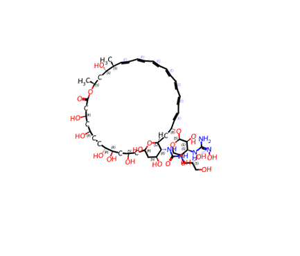 C[C@H]1C[C@H](O)[C@@H](C)/C=C/C=C/C=C/C=C/C=C/C=C/C=C/[C@H](O[C@@H]2OC[C@@H](O)[C@H](N/C(N)=N\O)[C@@H]2O)C[C@@H]2O[C@](O)(C[C@@H](O)C[C@@H](O)[C@H](O)CC[C@@H](O)C[C@@H](O)CC(=O)O1)C[C@H](O)[C@H]2NC(=O)NC[C@H](O)CO